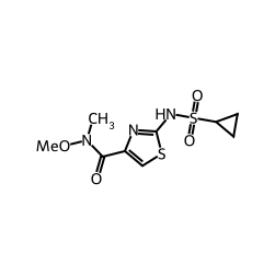 CON(C)C(=O)c1csc(NS(=O)(=O)C2CC2)n1